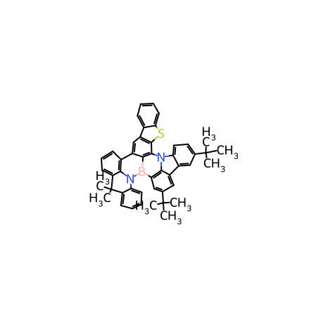 CC(C)(C)c1ccc2c(c1)c1cc(C(C)(C)C)cc3c1n2-c1c2c(cc4c1sc1ccccc14)-c1cccc4c1N(B23)c1ccccc1C4(C)C